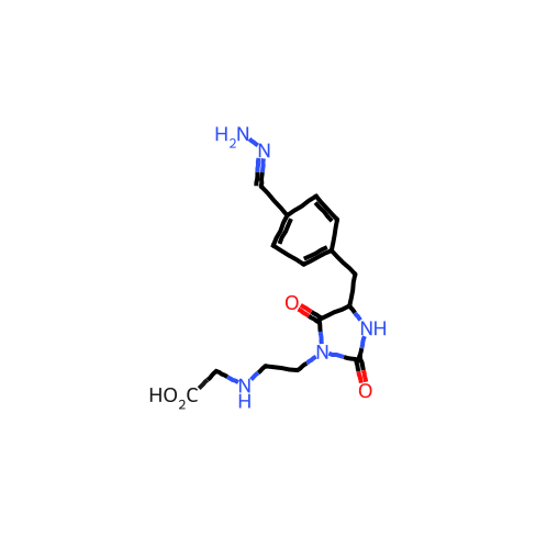 NN=Cc1ccc(CC2NC(=O)N(CCNCC(=O)O)C2=O)cc1